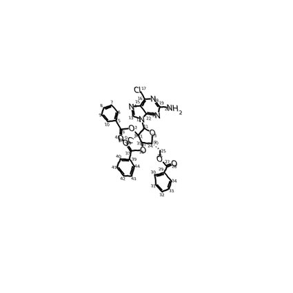 C[C@]1(OC(=O)c2ccccc2)C(n2cnc3c(Cl)nc(N)nc32)O[C@H](COC(=O)c2ccccc2)[C@H]1OC(=O)c1ccccc1